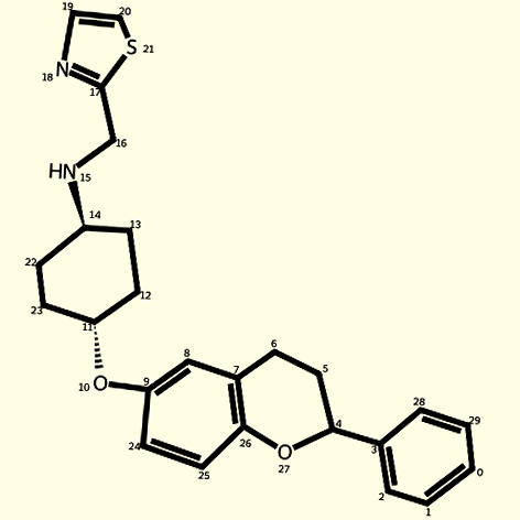 c1ccc(C2CCc3cc(O[C@H]4CC[C@H](NCc5nccs5)CC4)ccc3O2)cc1